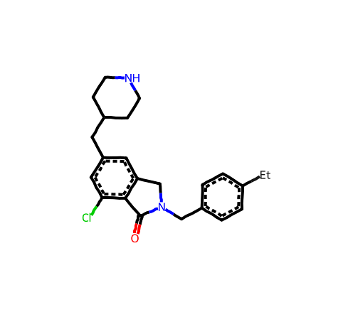 CCc1ccc(CN2Cc3cc(CC4CCNCC4)cc(Cl)c3C2=O)cc1